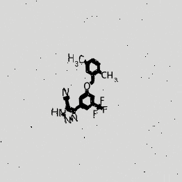 Cc1ccc(C)c(COc2cc(-c3nn[nH]c3C#N)cc(C(F)(F)F)c2)c1